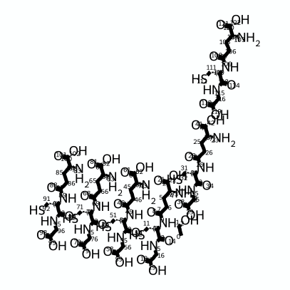 CCO.N[C@@H](CCC(=O)N[C@@H](CS)C(=O)NCC(=O)O)C(=O)O.N[C@@H](CCC(=O)N[C@@H](CS)C(=O)NCC(=O)O)C(=O)O.N[C@@H](CCC(=O)N[C@@H](CS)C(=O)NCC(=O)O)C(=O)O.N[C@@H](CCC(=O)N[C@@H](CS)C(=O)NCC(=O)O)C(=O)O.N[C@@H](CCC(=O)N[C@@H](CS)C(=O)NCC(=O)O)C(=O)O.N[C@@H](CCC(=O)N[C@@H](CS)C(=O)NCC(=O)O)C(=O)O